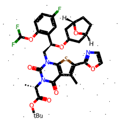 Cc1c(-c2ncco2)sc2c1c(=O)n([C@@H](C)C(=O)OC(C)(C)C)c(=O)n2C[C@H](OC1C[C@H]2CC[C@@H](C1)O2)c1cc(F)ccc1OC(F)F